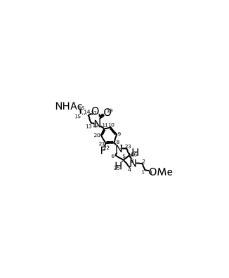 COCCN1C[C@H]2CN(c3ccc(N4C[C@H](CNC(C)=O)OC4=O)cc3F)C[C@H]21